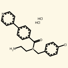 Cl.Cl.NCCN(Cc1ccc(Cl)cc1)C(=O)c1ccc(-c2ccncc2)cc1